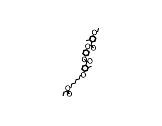 C=CC(=O)OCCCCCCOc1ccc(C(=O)Oc2ccc(OC(=O)c3ccc(OCC)cc3C)cc2)c(C)c1